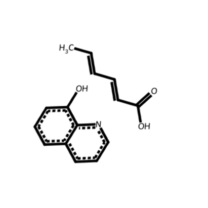 C/C=C/C=C/C(=O)O.Oc1cccc2cccnc12